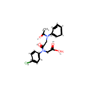 CC(=O)N(CC(=O)N(CC(=O)O)c1ccc(Cl)cc1)c1ccccc1